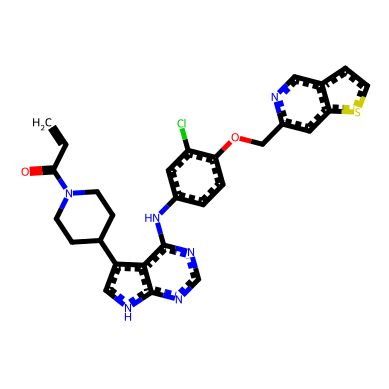 C=CC(=O)N1CCC(c2c[nH]c3ncnc(Nc4ccc(OCc5cc6sccc6cn5)c(Cl)c4)c23)CC1